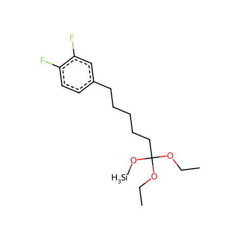 CCOC(CCCCCc1ccc(F)c(F)c1)(O[SiH3])OCC